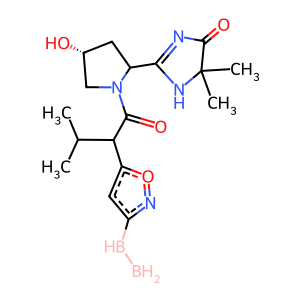 BBc1cc(C(C(=O)N2C[C@H](O)CC2C2=NC(=O)C(C)(C)N2)C(C)C)on1